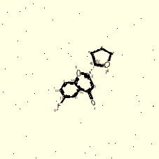 O=c1cc([C@@H]2CCCO2)oc2ccc(F)cc12